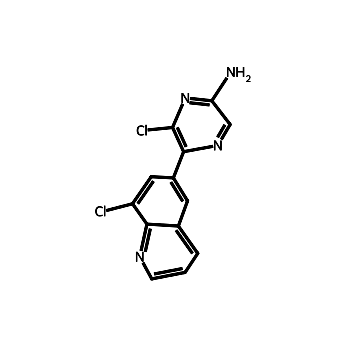 Nc1cnc(-c2cc(Cl)c3ncccc3c2)c(Cl)n1